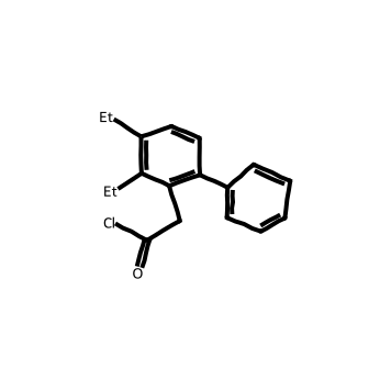 CCc1ccc(-c2ccccc2)c(CC(=O)Cl)c1CC